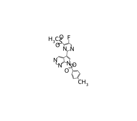 Cc1ccc(S(=O)(=O)n2cc(-c3ncc(F)c(S(C)(=O)=O)n3)c3cncnc32)cc1